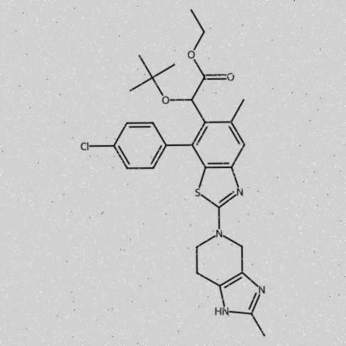 CCOC(=O)C(OC(C)(C)C)c1c(C)cc2nc(N3CCc4[nH]c(C)nc4C3)sc2c1-c1ccc(Cl)cc1